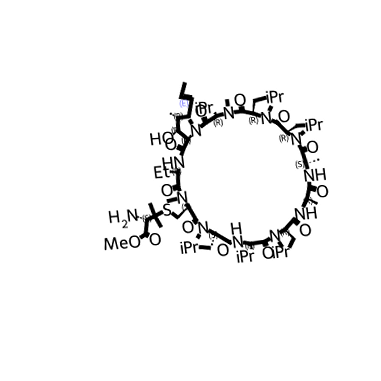 C/C=C/C[C@@H](C)[C@@H](O)[C@@H]1C(=O)N[C@H](CC)C(=O)N(C)[C@H](CSC(C)(C)[C@@H](N)C(=O)OC)C(=O)N(C)[C@@H](CC(C)C)C(=O)N[C@H](C(C)C)C(=O)N(C)[C@H](CC(C)C)C(=O)N[C@H](C)C(=O)N[C@@H](C)C(=O)N(C)[C@H](CC(C)C)C(=O)N(C)[C@H](CC(C)C)C(=O)N(C)[C@H](C(C)C)C(=O)N1C